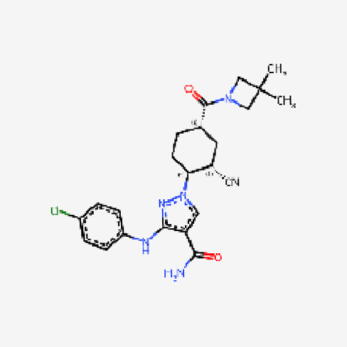 CC1(C)CN(C(=O)[C@H]2CC[C@H](n3cc(C(N)=O)c(Nc4ccc(Cl)cc4)n3)[C@@H](C#N)C2)C1